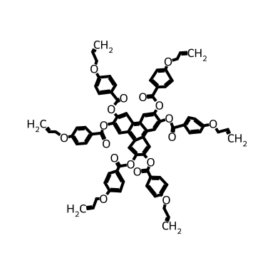 C=CCOc1ccc(C(=O)Oc2cc3c4cc(OC(=O)c5ccc(OCC=C)cc5)c(OC(=O)c5ccc(OCC=C)cc5)cc4c4cc(OC(=O)c5ccc(OCC=C)cc5)c(OC(=O)c5ccc(OCC=C)cc5)cc4c3cc2OC(=O)c2ccc(OCC=C)cc2)cc1